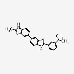 Cc1nc2cc(-c3ccc4[nH]c(-c5cccc(C(C)C)c5)nc4c3)ccc2[nH]1